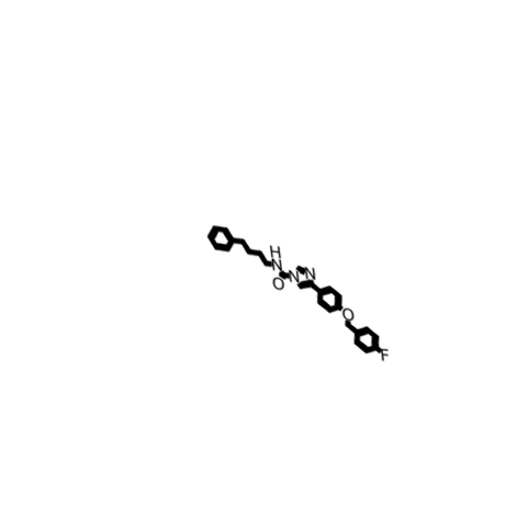 O=C(NCCCCc1ccccc1)n1cnc(-c2ccc(OCc3ccc(F)cc3)cc2)c1